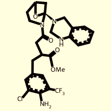 COC(=O)C(CC(=O)N1CCC2C[C@@]1(N1CNc3ccccc3C1)O2)Cc1cc(Cl)c(N)c(C(F)(F)F)c1